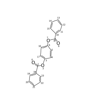 O=C(Oc1ccc(OC(=O)c2ccccc2)cc1)c1ccccc1